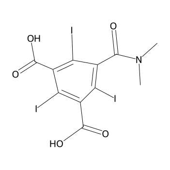 CN(C)C(=O)c1c(I)c(C(=O)O)c(I)c(C(=O)O)c1I